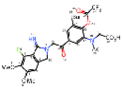 COc1cc2c(c(F)c1OC)C(=N)N(CC(=O)c1cc(N(CC(=O)O)C(C)=O)c(OC(=O)C(F)(F)F)c(C(C)(C)C)c1)C2